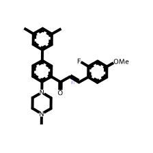 COc1ccc(/C=C/C(=O)c2cc(-c3cc(C)cc(C)c3)ccc2N2CCN(C)CC2)c(F)c1